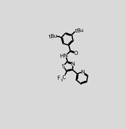 CC(C)(C)c1cc(C(=O)Nc2nc(-c3ccccn3)c(C(F)(F)F)s2)cc(C(C)(C)C)c1